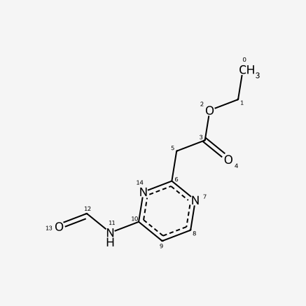 CCOC(=O)Cc1nccc(NC=O)n1